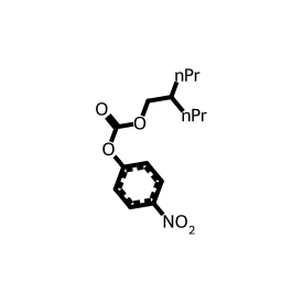 CCCC(CCC)COC(=O)Oc1ccc([N+](=O)[O-])cc1